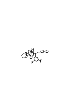 O=CCCC(NC(=O)C1(O)CC2CCC(C1)N2C(=O)O)c1cc(F)cc(F)c1